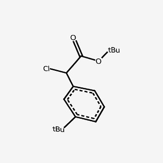 CC(C)(C)OC(=O)C(Cl)c1cccc(C(C)(C)C)c1